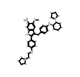 COc1cc2c(Cc3ccc(O[C@@H]4CCCC[C@H]4N4CCCC4)cc3)c(-c3ccc(OCCN4CCCC4)cc3)sc2cc1O